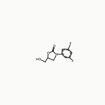 O=C1OC(CO)CN1c1cc(F)cc(F)c1